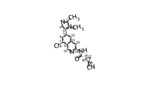 Cc1ncc(-c2cc(Cl)c3cnc(NC(=O)[C@@H]4C[C@H]4C#N)cc3c2)n1C